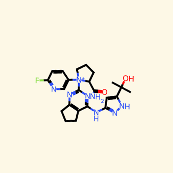 CC(C)(O)c1cc(Nc2nc([N+]3(c4ccc(F)nc4)CCCC3C(N)=O)nc3c2CCC3)n[nH]1